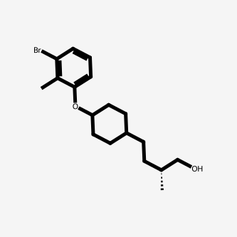 Cc1c(Br)cccc1OC1CCC(CC[C@@H](C)CO)CC1